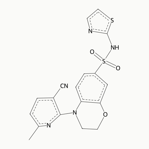 Cc1ccc(C#N)c(N2CCOc3cc(S(=O)(=O)Nc4nccs4)ccc32)n1